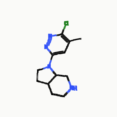 Cc1cc(N2CCC3CCNCC32)nnc1Cl